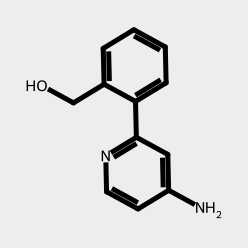 Nc1ccnc(-c2ccccc2CO)c1